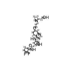 O=C(Cc1cc(Nc2ncnc3cc(OCCCN4CCCC4CCO)ccc23)n[nH]1)Nc1cccc(F)c1F